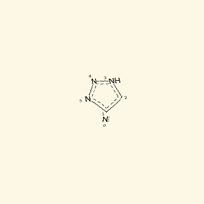 [N].c1c[nH]nn1